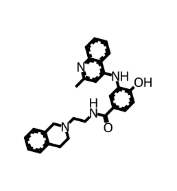 Cc1cc(Nc2cc(C(=O)NCCN3CCc4ccccc4C3)ccc2O)c2ccccc2n1